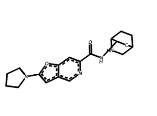 O=C(NC1CC2CCC1NC2)c1cc2oc(N3CCCC3)cc2cn1